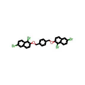 Brc1ccc2c(Br)c(OCc3ccc(COc4ccc5cc(Br)ccc5c4Br)cc3)ccc2c1